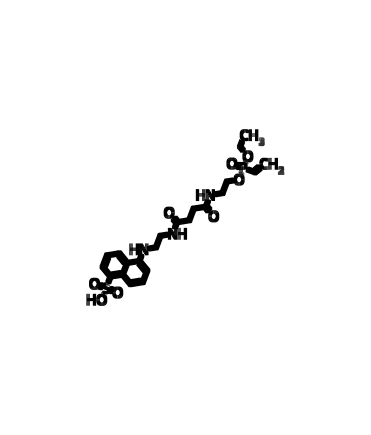 C=CP(=O)(OCC)OCCNC(=O)CCC(=O)NCCNc1cccc2c(S(=O)(=O)O)cccc12